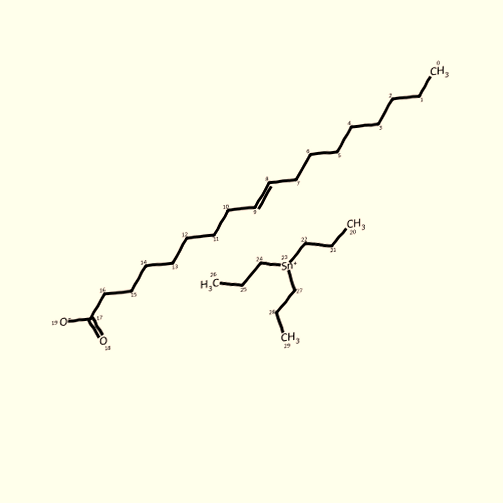 CCCCCCCCC=CCCCCCCCC(=O)[O-].CC[CH2][Sn+]([CH2]CC)[CH2]CC